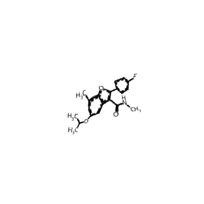 CNC(=O)c1c(-c2ccc(F)cc2)oc2c(C)cc(OC(C)C)cc12